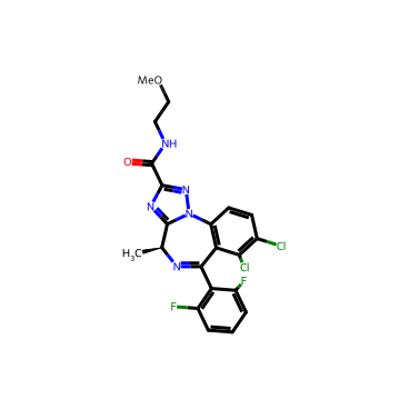 COCCNC(=O)c1nc2n(n1)-c1ccc(Cl)c(Cl)c1C(c1c(F)cccc1F)=N[C@H]2C